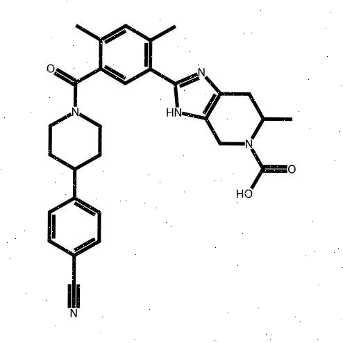 Cc1cc(C)c(-c2nc3c([nH]2)CN(C(=O)O)C(C)C3)cc1C(=O)N1CCC(c2ccc(C#N)cc2)CC1